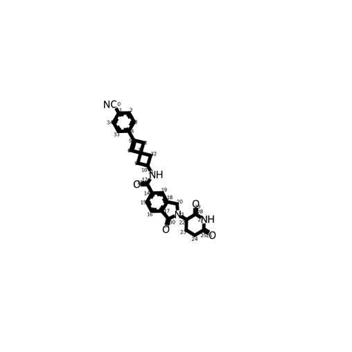 N#Cc1ccc(C2=CC3(C2)CC(NC(=O)c2ccc4c(c2)CN(C2CCC(=O)NC2=O)C4=O)C3)cc1